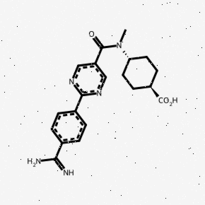 CN(C(=O)c1cnc(-c2ccc(C(=N)N)cc2)nc1)[C@H]1CC[C@H](C(=O)O)CC1